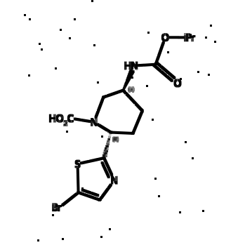 CC(C)OC(=O)N[C@H]1CC[C@H](c2ncc(Br)s2)N(C(=O)O)C1